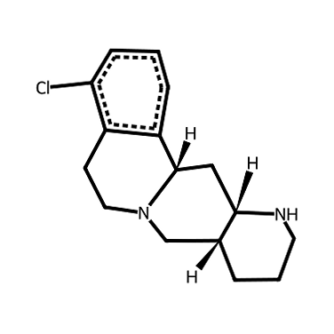 Clc1cccc2c1CCN1C[C@H]3CCCN[C@H]3C[C@@H]21